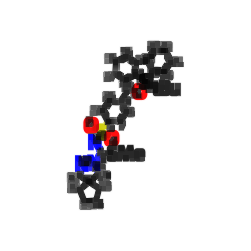 CSC(=NS(=O)(=O)c1ccc(CO[Si](c2ccccc2)(c2ccccc2)C(C)(C)C)cc1)N1CC2(C=N1)CCCC2